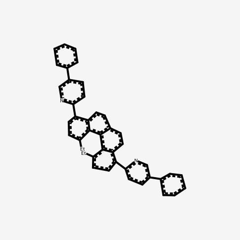 CCc1ccc(-c2ccc(-c3ccccc3)cn2)c2ccc3ccc4c(-c5ccc(-c6ccccc6)cn5)ccc(CC)c4c3c12